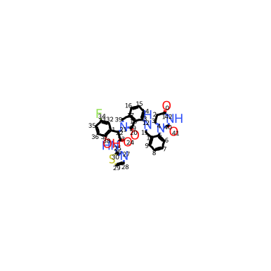 O=C1CCN(c2ccccc2CNc2cccc3c2C(=O)N(C(C(=O)Nc2nccs2)c2cc(F)ccc2O)C3)C(=O)N1